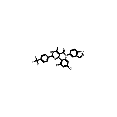 CC1=C(C(=O)Nc2ccc3[nH]ncc3c2)C(c2ccc(Cl)cc2F)N=C(c2ccc(C(F)(F)F)cc2)N1